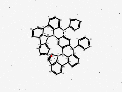 c1ccc(N2c3cc4c(cc3B3c5c(cccc52)-c2cccc5c6ccccc6n3c25)B2c3c(cccc3N4c3ccccc3)-c3cccc4c5ccccc5n2c34)cc1